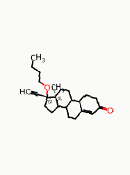 C#C[C@]1(OCCCC)CCC2C3CCC4=CC(=O)CCC4C3CC[C@@]21C